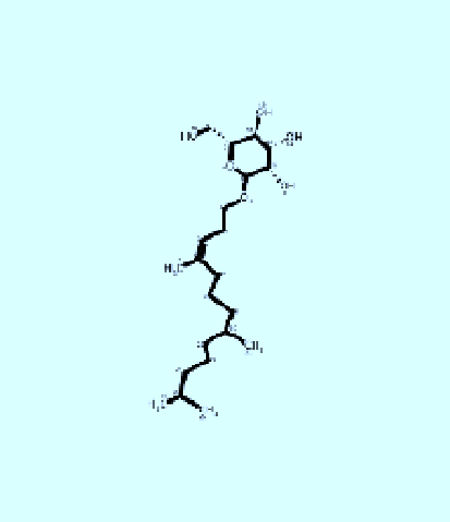 CC(=CCCOC1O[C@H](CO)[C@@H](O)[C@H](O)[C@@H]1O)CCCC(C)CCCC(C)C